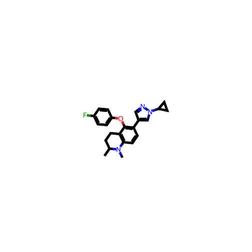 CC1CCc2c(ccc(-c3cnn(C4CC4)c3)c2Oc2ccc(F)cc2)N1C